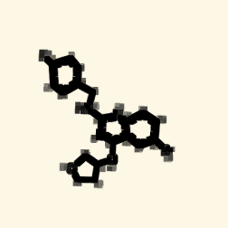 Fc1ccc(CNc2nc(OC3CCOC3)c3cc(Br)ccc3n2)cc1